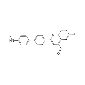 CNc1ccc(-c2ccc(-c3cc(C=O)c4cc(F)ccc4n3)cc2)cc1